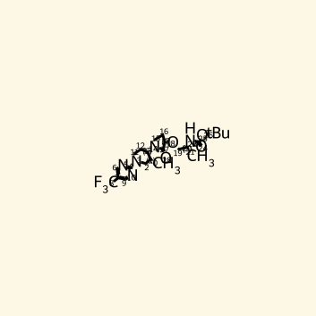 C[C@@H]1CN(c2ncc(C(F)(F)F)cn2)CC[C@@H]1N1CC[C@@H](OC[C@H](C)NC(=O)OC(C)(C)C)C1=O